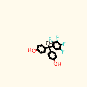 CC(c1ccc(O)cc1)(c1ccc(O)cc1)c1cc(F)c(F)c(F)c1F